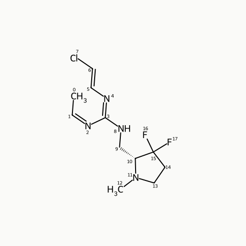 C\C=N/C(=N\C=C\Cl)NC[C@H]1N(C)CCC1(F)F